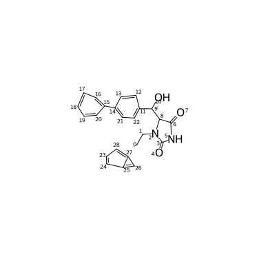 CCN1C(=O)NC(=O)C1C(O)c1ccc(-c2ccccc2)cc1.c1cc2cc-2c1